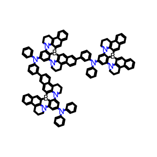 c1ccc(N(c2cccc(-c3ccc4c5c6c(cc4c3)B3c4cc7ccccc7c7c4N(CCC7)c4cc(N(c7ccccc7)c7cccc(-c8ccc9c%10c%11c(cc9c8)B8c9cc%12ccccc%12c%12c9N(CCC%12)c9cc(N(c%12ccccc%12)c%12ccccc%12)cc(c98)N%11CCC%10)c7)cc(c43)N6CCC5)c2)c2cc3c4c(c2)N2CCCc5c2c(cc2ccccc52)B4c2cc4ccccc4c4c2N3CCC4)cc1